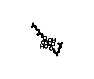 C=C(C=COC(=O)C(O)C(O)C(=O)OC=CC(=C)CCC=C(C)C)CCC=C(C)C